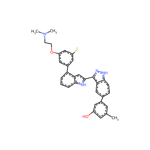 Cc1cc(O)cc(-c2ccc3[nH]nc(-c4cc5c(-c6cc(F)cc(OCCN(C)C)c6)cccc5[nH]4)c3c2)c1